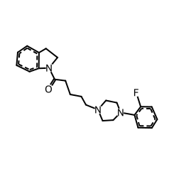 O=C(CCCCN1CCN(c2ccccc2F)CC1)N1CCc2ccccc21